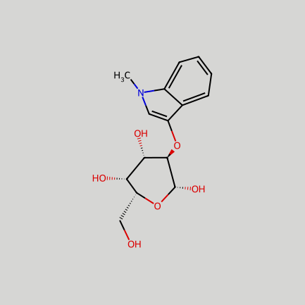 Cn1cc(O[C@@H]2[C@@H](O)[C@@H](O)[C@@H](CO)O[C@H]2O)c2ccccc21